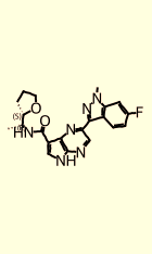 C[C@@H](NC(=O)c1c[nH]c2ncc(-c3nn(C)c4cc(F)ccc34)nc12)[C@@H]1CCCO1